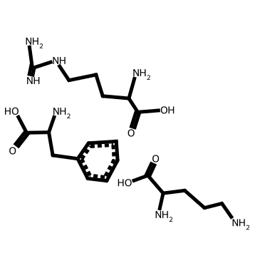 N=C(N)NCCCC(N)C(=O)O.NC(Cc1ccccc1)C(=O)O.NCCCC(N)C(=O)O